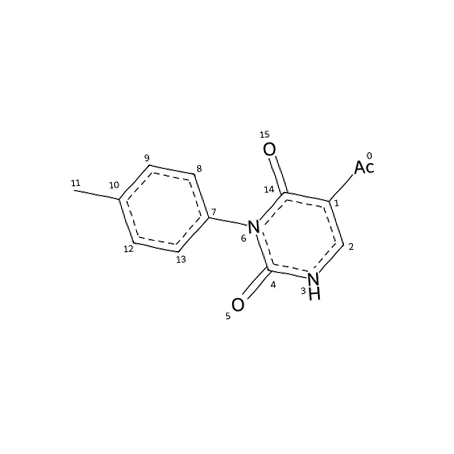 CC(=O)c1c[nH]c(=O)n(-c2ccc(C)cc2)c1=O